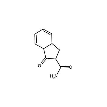 NC(=O)C1CC2C=[C]C=CC2C1=O